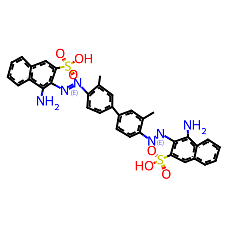 Cc1cc(-c2ccc(/N=N/c3c(S(=O)(=O)O)cc4ccccc4c3N)c(C)c2)ccc1/N=N/c1c(S(=O)(=O)O)cc2ccccc2c1N